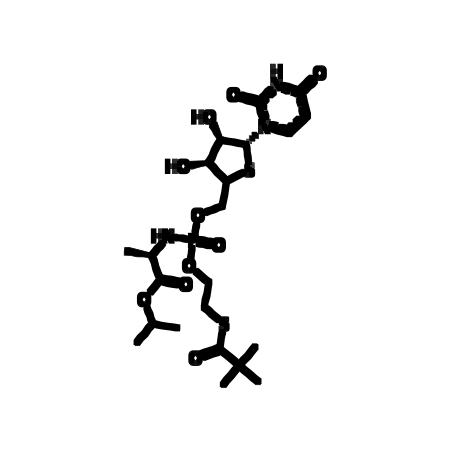 CC(C)OC(=O)[C@@H](C)NP(=O)(OCCSC(=O)C(C)(C)C)OCC1S[C@@H](n2ccc(=O)[nH]c2=O)[C@H](O)[C@@H]1O